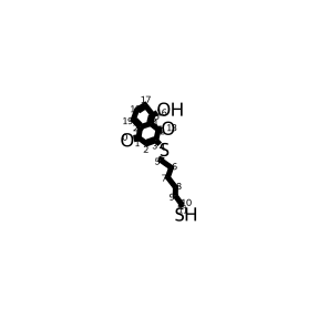 O=C1C=C(SCCCCCCS)C(=O)c2c(O)cccc21